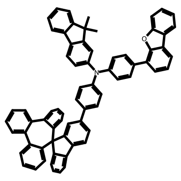 CC1(C)c2ccccc2-c2ccc(N(c3ccc(-c4ccc5c(c4)C4(c6ccccc6-c6ccccc6-c6ccccc64)c4ccccc4-5)cc3)c3ccc(-c4cccc5c4oc4ccccc45)cc3)cc21